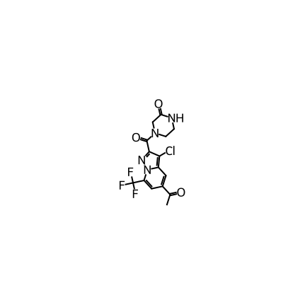 CC(=O)c1cc(C(F)(F)F)n2nc(C(=O)N3CCNC(=O)C3)c(Cl)c2c1